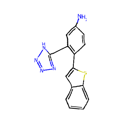 Nc1ccc(-c2cc3ccccc3s2)c(-c2nnn[nH]2)c1